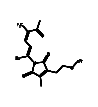 C=C(C)/C(=C\C=C(/C(C)CC)N1C(=O)C(C)=C(CCOCCC)C1=O)C(F)(F)F